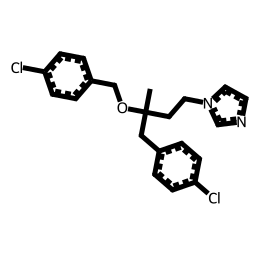 CC(CCn1ccnc1)(Cc1ccc(Cl)cc1)OCc1ccc(Cl)cc1